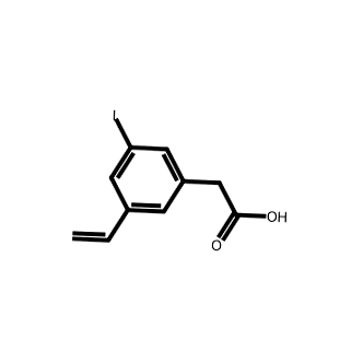 C=Cc1cc(I)cc(CC(=O)O)c1